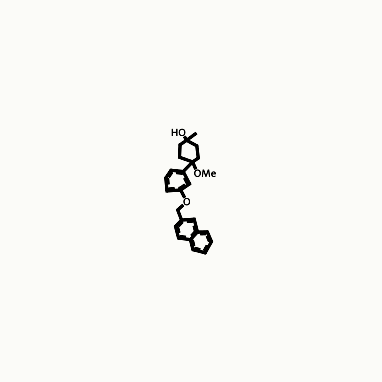 COC1(c2cccc(OCc3ccc4ccccc4c3)c2)CCC(C)(O)CC1